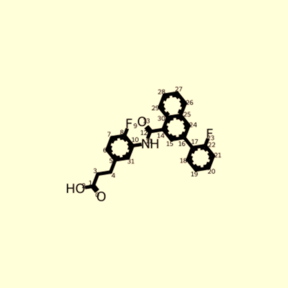 O=C(O)CCc1ccc(F)c(NC(=O)c2cc(-c3ccccc3F)cc3ccccc23)c1